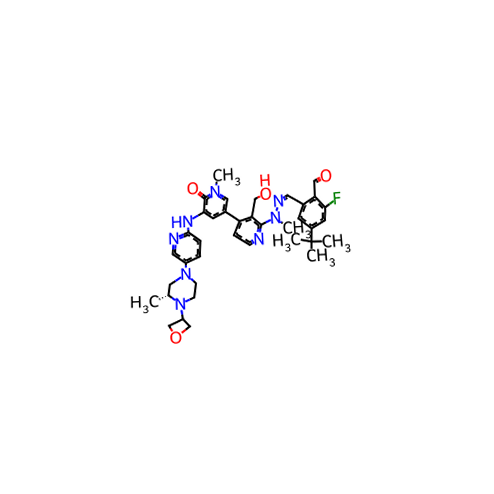 C[C@@H]1CN(c2ccc(Nc3cc(-c4ccnc(N(C)/N=C\c5cc(C(C)(C)C)cc(F)c5C=O)c4CO)cn(C)c3=O)nc2)CCN1C1COC1